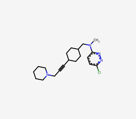 CN(CC1CCC(C#CCN2CCCCC2)CC1)c1ccc(Cl)nn1